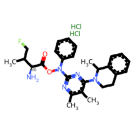 Cc1nc(N(OC(=O)[C@@H](N)C(C)CF)c2ccccc2)nc(N2CCc3ccccc3C2C)c1C.Cl.Cl